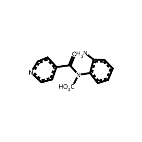 Nc1ccccc1N(C(=O)O)C(=O)c1ccncc1